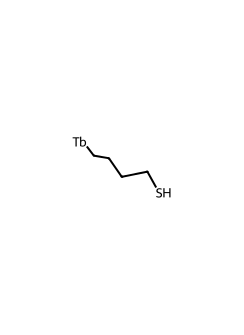 SCCC[CH2][Tb]